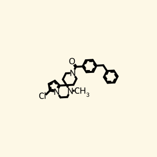 CN1CCn2c(Cl)ccc2C12CCN(C(=O)c1ccc(Cc3ccccc3)cc1)CC2